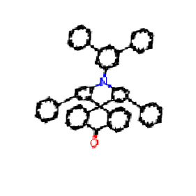 O=C1c2ccccc2C2(c3ccccc31)c1cc(-c3ccccc3)ccc1N(c1cc(-c3ccccc3)cc(-c3ccccc3)c1)c1ccc(-c3ccccc3)cc12